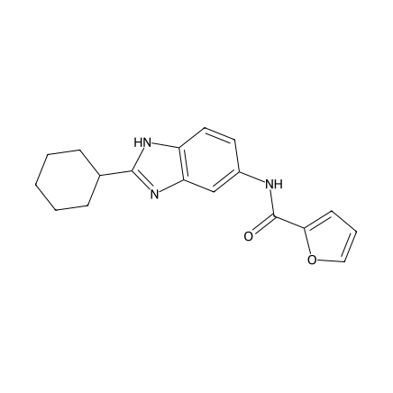 O=C(Nc1ccc2[nH]c(C3CCCCC3)nc2c1)c1ccco1